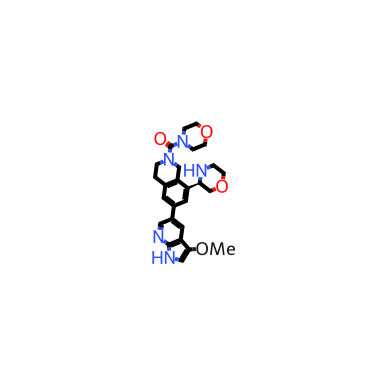 COc1c[nH]c2ncc(-c3cc4c(c([C@@H]5COCCN5)c3)CN(C(=O)N3CCOCC3)CC4)cc12